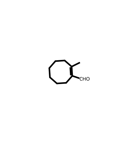 C/C1=C(\C=O)CCCCCC1